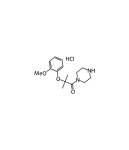 COc1ccccc1OC(C)(C)C(=O)N1CCNCC1.Cl